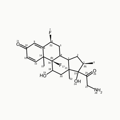 C[C@@H]1CC2C3C[C@H](F)C4=CC(=O)C=CC4(C)[C@@]3(F)C(O)CC2(C)C1(O)C(=O)CN